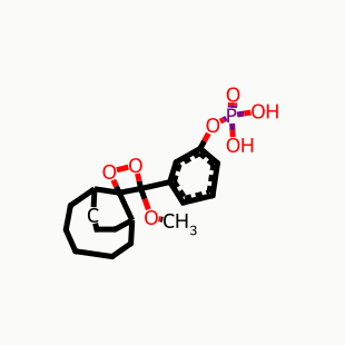 COC1(c2cccc(OP(=O)(O)O)c2)OOC12C1CCCCCC2CCC1